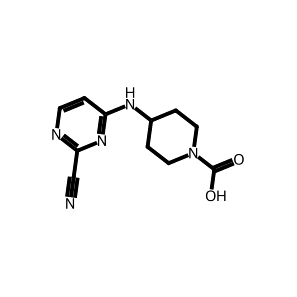 N#Cc1nccc(NC2CCN(C(=O)O)CC2)n1